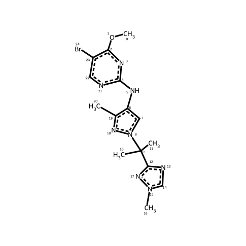 COc1nc(Nc2cn(C(C)(C)c3ncn(C)n3)nc2C)ncc1Br